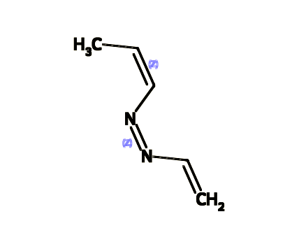 C=C/N=N\C=C/C